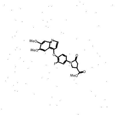 COC(=O)C1CC(=O)N(c2ccc(Oc3ccnc4cc(OC)c(OC)cc34)c(F)c2)C1